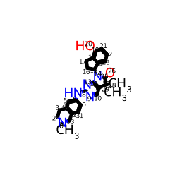 CN1CCc2cc(Nc3ncc4c(n3)N([C@@H]3CCc5c(O)cccc53)C(=O)C4(C)C)ccc2C1